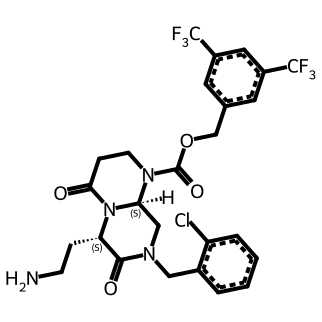 NCC[C@H]1C(=O)N(Cc2ccccc2Cl)C[C@@H]2N(C(=O)OCc3cc(C(F)(F)F)cc(C(F)(F)F)c3)CCC(=O)N21